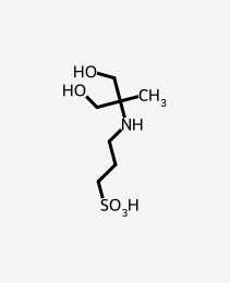 CC(CO)(CO)NCCCS(=O)(=O)O